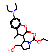 CCOC(=O)N1CCC(CO)C1C1C(=O)Oc2cc(N(CC)CC)ccc2C1C